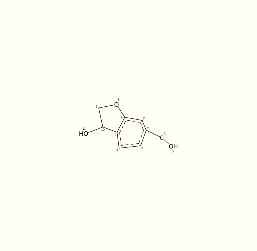 OCc1ccc2c(c1)OCC2O